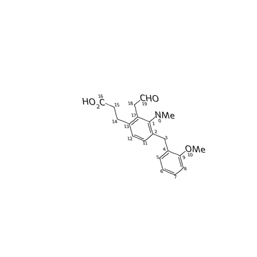 CNc1c(Cc2ccccc2OC)ccc(CCC(=O)O)c1CC=O